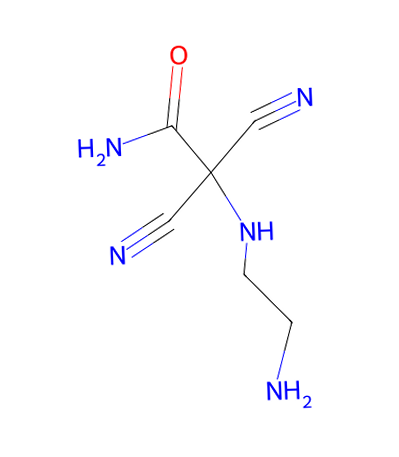 N#CC(C#N)(NCCN)C(N)=O